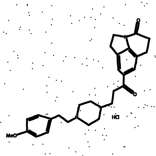 COc1ccc(CCN2CCC(CCC(=O)c3cc4c5c(c3)CCN5C(=O)CC4)CC2)cc1.Cl